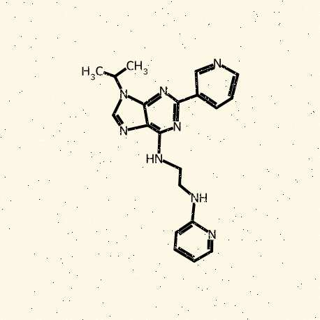 CC(C)n1cnc2c(NCCNc3ccccn3)nc(-c3cccnc3)nc21